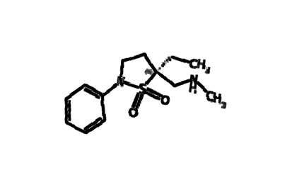 CC[C@@]1(CNC)CCN(c2ccccc2)S1(=O)=O